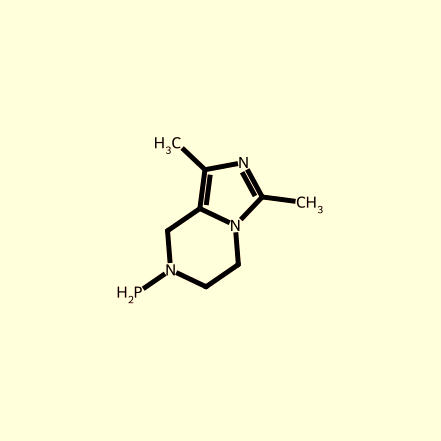 Cc1nc(C)n2c1CN(P)CC2